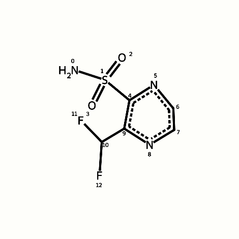 NS(=O)(=O)c1nccnc1C(F)F